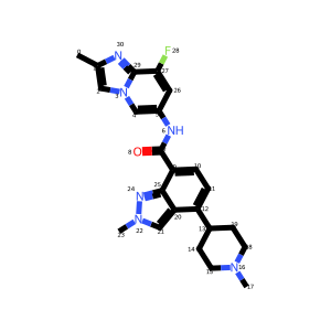 Cc1cn2cc(NC(=O)c3ccc(C4CCN(C)CC4)c4cn(C)nc34)cc(F)c2n1